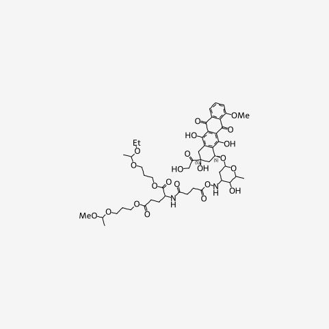 CCOC(C)OCCCOC(=O)C(CCC(=O)OCCCOC(C)OC)NC(=O)CCC(=O)ONC1CC(O[C@H]2C[C@](O)(C(=O)CO)Cc3c(O)c4c(c(O)c32)C(=O)c2c(OC)cccc2C4=O)OC(C)C1O